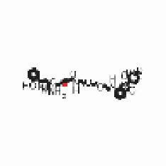 Nc1nnc(-c2ccccc2O)cc1OCC12CC(C(=O)NCCOCCOCCNc3cccc4c3CN(C3CCC(=O)NC3=O)C4=O)(C1)C2